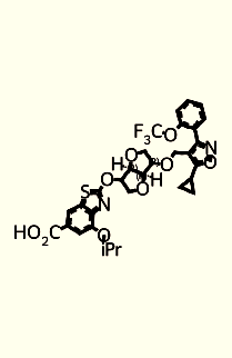 CC(C)Oc1cc(C(=O)O)cc2sc(OC3CO[C@H]4[C@@H]3OC[C@H]4OCc3c(-c4ccccc4OC(F)(F)F)noc3C3CC3)nc12